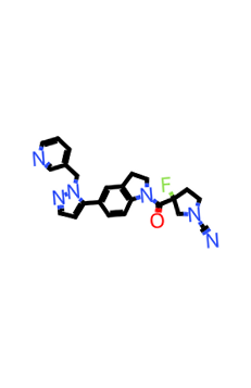 N#CN1CCC(F)(C(=O)N2CCc3cc(-c4ccnn4Cc4cccnc4)ccc32)C1